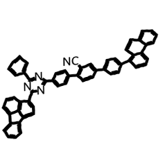 N#Cc1cc(-c2ccc(-c3cccc4c3ccc3ccccc34)cc2)ccc1-c1ccc(-c2nc(-c3ccccc3)nc(-c3ccc4c5c(cccc35)-c3ccccc3-4)n2)cc1